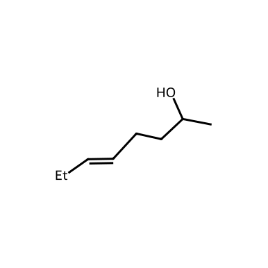 CC/C=C/CCC(C)O